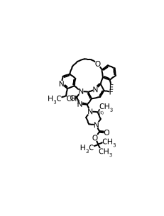 CC(C)c1ncc2cc1-n1c(=O)nc(N3CCN(C(=O)OC(C)(C)C)C[C@@H]3C)c3cc(F)c(nc31)-c1c(F)cccc1OCCCC2